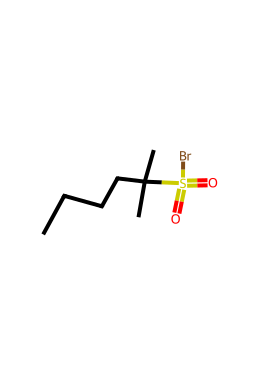 CCCCC(C)(C)S(=O)(=O)Br